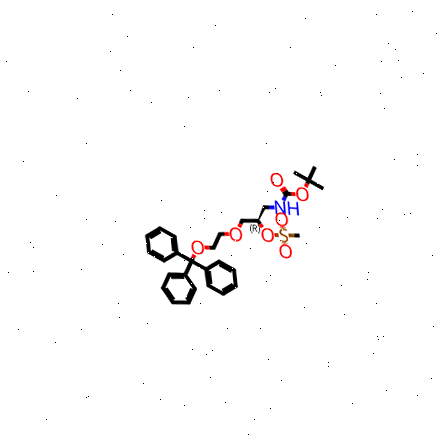 CC(C)(C)OC(=O)NC[C@H](COCCOC(c1ccccc1)(c1ccccc1)c1ccccc1)OS(C)(=O)=O